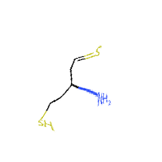 NC(C=S)CS